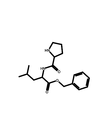 CC(C)CC(NC(=O)C1CCCN1)C(=O)OCc1ccccc1